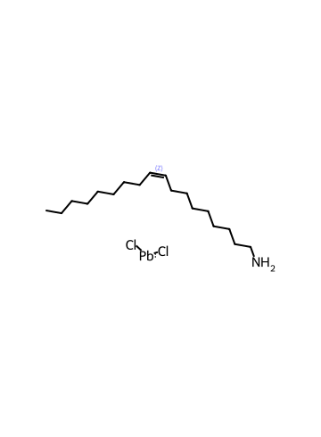 CCCCCCCC/C=C\CCCCCCCCN.[Cl][Pb][Cl]